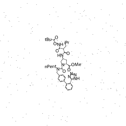 CCCCCN(Cc1ccc(-c2ccccc2-c2nnn[nH]2)cc1)C(=O)N1C[C@@H](NC(=O)C(CC(C)C)C(=O)NOC(=O)C(C)(C)C)C[C@H]1C(=O)OC